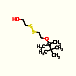 CC(C)(C)[Si](C)(C)OCCSSCCO